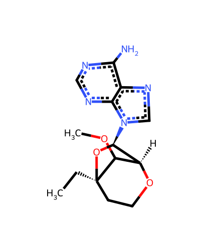 CC[C@@]12CCO[C@@H](C1OC)[C@H](n1cnc3c(N)ncnc31)O2